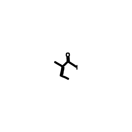 CC=C(C)C(=O)I